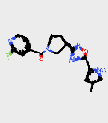 Cc1c[nH]c(-c2nc(C3CCCN(C(=O)c4ccnc(F)c4)C3)no2)c1